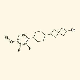 CCOc1ccc(C2CCC(C3CC4(CC(CC)C4)C3)CC2)c(F)c1F